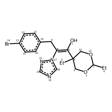 CCC1OCC(CC)(/C(O)=C(/Cc2ccc(Br)cc2)n2cncn2)CO1